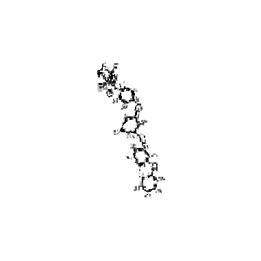 O=S(=O)(c1ccc(Oc2cccc(Oc3cccc(Oc4ccccc4)c3)c2)cc1)C(F)(F)C(F)(F)F